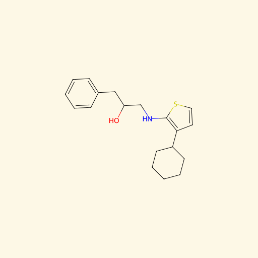 OC(CNc1sccc1C1CCCCC1)Cc1ccccc1